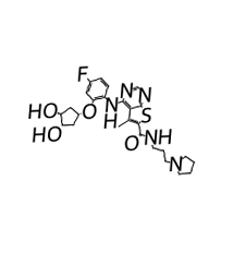 Cc1c(C(=O)NCCCN2CCCC2)sc2ncnc(Nc3ccc(F)cc3O[C@@H]3C[C@@H](O)[C@@H](O)C3)c12